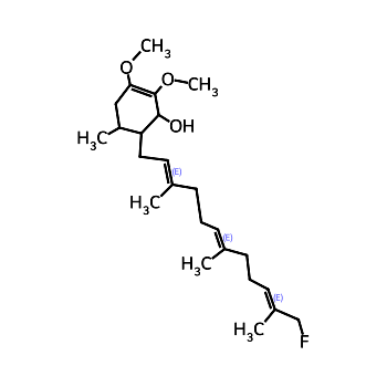 COC1=C(OC)C(O)C(C/C=C(\C)CC/C=C(\C)CC/C=C(\C)CF)C(C)C1